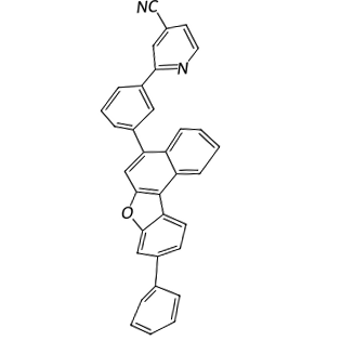 N#Cc1ccnc(-c2cccc(-c3cc4oc5cc(-c6ccccc6)ccc5c4c4ccccc34)c2)c1